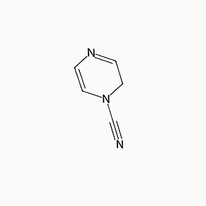 N#CN1C=CN=CC1